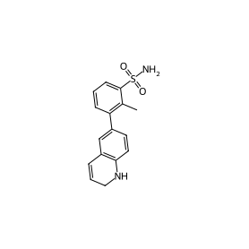 Cc1c(-c2ccc3c(c2)C=CCN3)cccc1S(N)(=O)=O